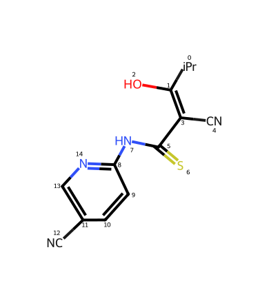 CC(C)C(O)=C(C#N)C(=S)Nc1ccc(C#N)cn1